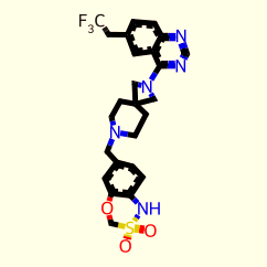 O=S1(=O)COc2cc(CN3CCC4(CC3)CN(c3ncnc5ccc(CC(F)(F)F)cc35)C4)ccc2N1